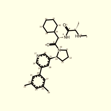 CN[C@@H](C)C(=O)N[C@H](C(=O)N1CCC[C@H]1c1cncc(-c2cc(C)cc(C)c2)c1)C1CCCCC1